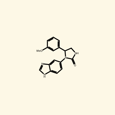 COc1cccc(C2CNC(=O)N2c2ccc3[nH]cnc3c2)c1